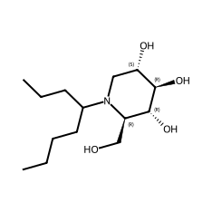 CCCCC(CCC)N1C[C@H](O)[C@@H](O)[C@H](O)[C@H]1CO